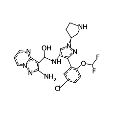 Nc1nn2cccnc2c1C(O)Nc1cn([C@H]2CCNC2)nc1-c1cc(Cl)ccc1OC(F)F